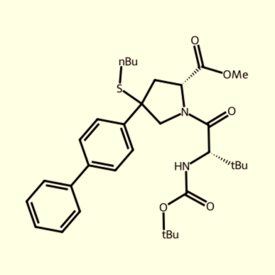 CCCCSC1(c2ccc(-c3ccccc3)cc2)C[C@H](C(=O)OC)N(C(=O)[C@@H](NC(=O)OC(C)(C)C)C(C)(C)C)C1